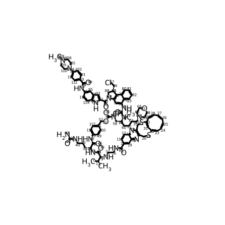 CC(C)[C@@H](NCCNC(=O)c1ccc2nc3c(nc2c1)CSc1cccccccc(c1)SC3)C(=O)N[C@H](CCCNC(N)=O)C(=O)Nc1ccc(COC(=O)N(C)C[C@H](CCCCN2CCOCC2)N(C)C(=O)Nc2cc3c(c4ccccc24)[C@H](CCl)CN3C(=O)c2cc3cc(NC(=O)c4ccc(N5CCN(C)CC5)cc4)ccc3[nH]2)cc1